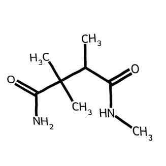 CNC(=O)C(C)C(C)(C)C(N)=O